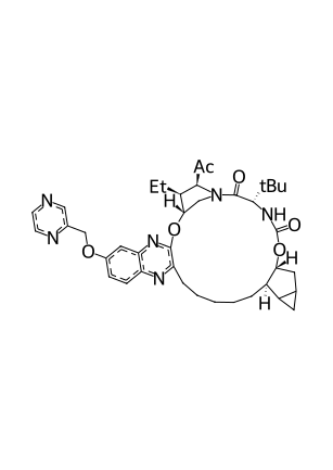 CC[C@@H]1[C@@H]2CN(C(=O)[C@H](C(C)(C)C)NC(=O)O[C@@H]3CC4CC4[C@H]3CCCCCc3nc4ccc(OCc5cnccn5)cc4nc3O2)[C@@H]1C(C)=O